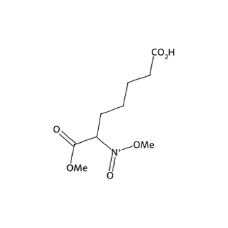 COC(=O)C(CCCCC(=O)O)[N+](=O)OC